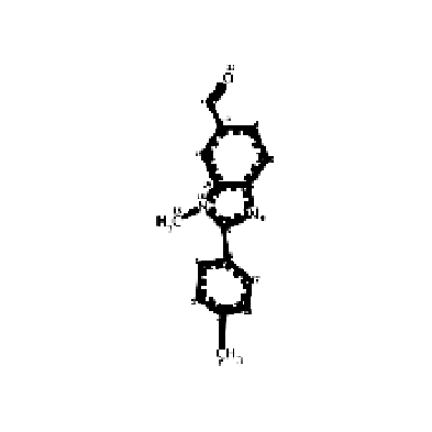 Cc1ccc(-c2nc3ccc(C=O)cc3n2C)cc1